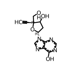 C#C[C@]1(CO)O[C@@H](n2cnc3c(O)ncnc32)CC1O